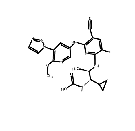 COc1ncc(Nc2nc(N[C@H](C)[C@@H](NC(=O)O)C3CC3)c(F)cc2C#N)cc1-n1ccnn1